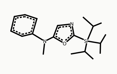 CC(C)[Si](c1ncc(N(C)c2ccccc2)o1)(C(C)C)C(C)C